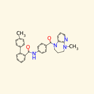 Cc1ccc(-c2ccccc2C(=O)Nc2ccc(C(=O)N3CCCN(C)c4ncccc43)cc2)cc1